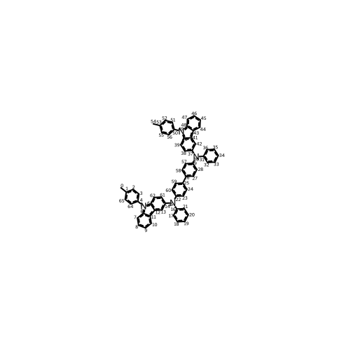 Cc1ccc(-n2c3ccccc3c3cc(N(c4ccccc4)c4ccc(-c5ccc(N(c6ccccc6)c6ccc7c(c6)c6ccccc6n7-c6ccc(C)cc6)cc5)cc4)ccc32)cc1